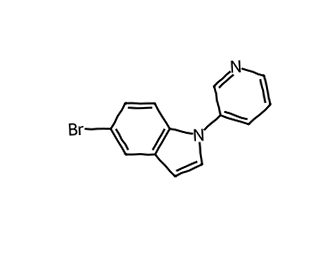 Brc1ccc2c(ccn2-c2cccnc2)c1